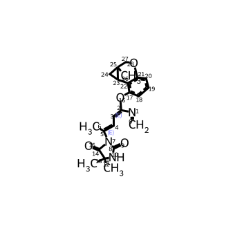 C=N/C(=C\C=C(/C)N1C(=O)NC(C)(C)C1=O)Oc1cccc2c1C1CC1(C)CO2